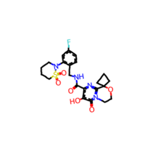 O=C(NCc1ccc(F)cc1N1CCCCS1(=O)=O)c1nc2n(c(=O)c1O)CCOC21CCC1